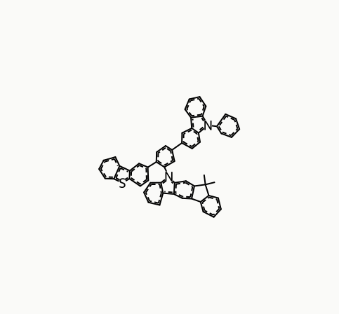 CC1(C)c2ccccc2-c2cc3c4ccccc4n(-c4cc(-c5ccc6c(c5)c5ccccc5n6-c5ccccc5)ccc4-c4ccc5sc6ccccc6c5c4)c3cc21